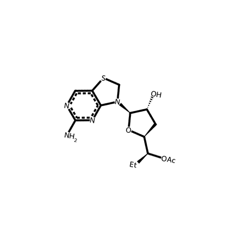 CC[C@H](OC(C)=O)[C@@H]1C[C@@H](O)[C@H](N2CSc3cnc(N)nc32)O1